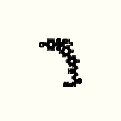 CNC(=O)CCNCc1ccc(C2CCC(N(C)S(=O)(=O)c3ccc(Cl)cc3)CC2)cc1